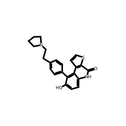 O=c1[nH]c2ccc(O)c(-c3ccc(CCN4CCCC4)cc3)c2c2ccsc12